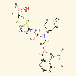 CC(C)(Sc1cnc(NC(=O)N(CCOCc2ccccc2OC(F)F)[C@H]2CC[C@H](C)CC2)s1)C(=O)O